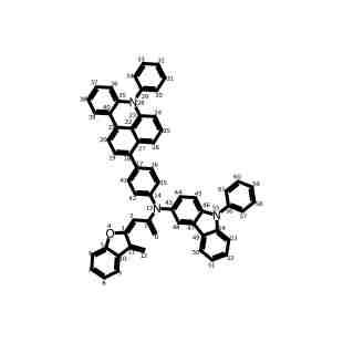 C=C(/C=c1/oc2ccccc2c1=C)N(c1ccc(-c2ccc3c4c(cccc24)N(c2ccccc2)c2ccccc2-3)cc1)c1ccc2c(c1)c1ccccc1n2-c1ccccc1